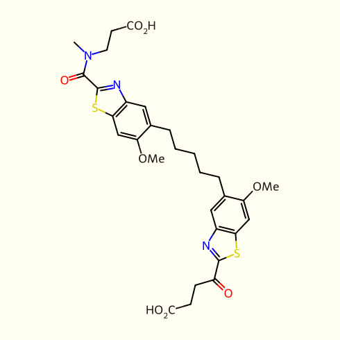 COc1cc2sc(C(=O)CCC(=O)O)nc2cc1CCCCCc1cc2nc(C(=O)N(C)CCC(=O)O)sc2cc1OC